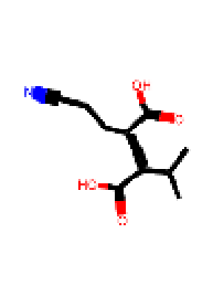 CC(C)C(C(=O)O)=C(CCC#N)C(=O)O